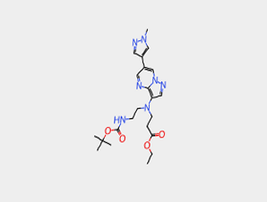 CCOC(=O)CCN(CCNC(=O)OC(C)(C)C)c1cnn2cc(-c3cnn(C)c3)cnc12